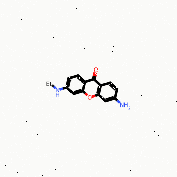 CCNc1ccc2c(=O)c3ccc(N)cc3oc2c1